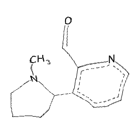 CN1CCCC1c1cccnc1C=O